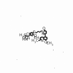 CCc1ccc2c(-c3ccc(=O)n(CCCCOc4ccc(C5=NNC(=O)C5(C)C)cc4OC)n3)ccc(OC)c2n1